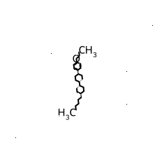 CCCCCC[C@H]1CC[C@H]([C@H]2CC[C@H](c3ccc(OCCC)cc3)CC2)CC1